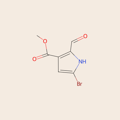 COC(=O)c1cc(Br)[nH]c1C=O